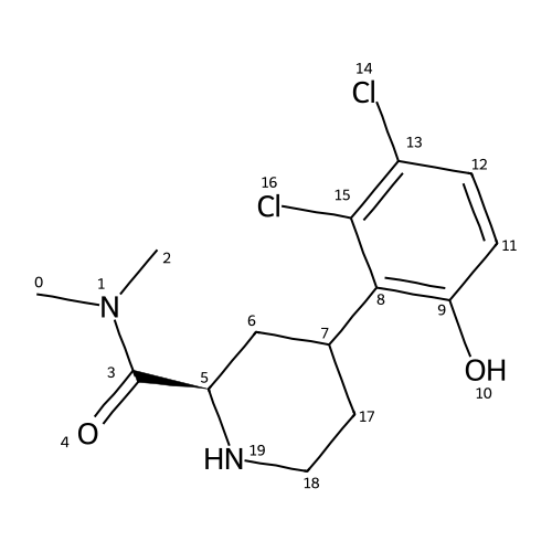 CN(C)C(=O)[C@H]1CC(c2c(O)ccc(Cl)c2Cl)CCN1